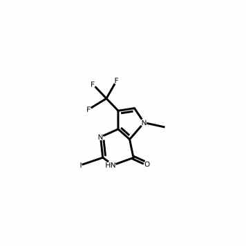 Cn1cc(C(F)(F)F)c2nc(I)[nH]c(=O)c21